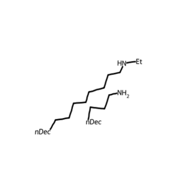 CCCCCCCCCCCCCCCCCCNCC.CCCCCCCCCCCCCN